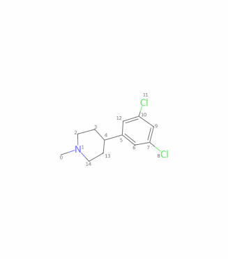 CN1CCC(c2cc(Cl)cc(Cl)c2)CC1